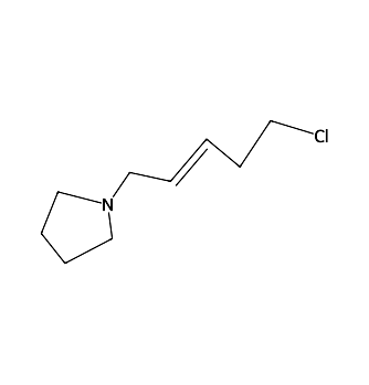 ClCCC=CCN1CCCC1